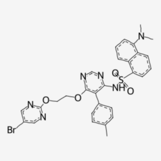 Cc1ccc(-c2c(NS(=O)(=O)c3cccc4c(N(C)C)cccc34)ncnc2OCCOc2ncc(Br)cn2)cc1